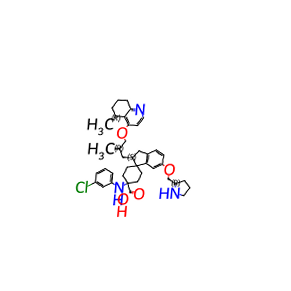 C[C@@H](COc1ccnc2c1[C@H](C)CCC2)C[C@H]1Cc2ccc(OC[C@H]3CCCN3)cc2C12CCC(Nc1cccc(Cl)c1)(C(=O)O)CC2